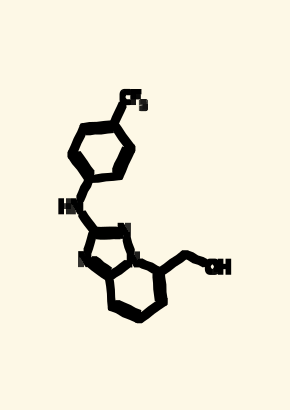 OCc1cccc2nc(Nc3ccc(C(F)(F)F)cc3)nn12